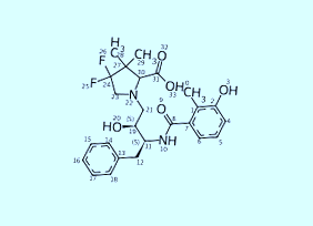 Cc1c(O)cccc1C(=O)N[C@@H](Cc1ccccc1)[C@@H](O)CN1CC(F)(F)C(C)(C)C1C(=O)O